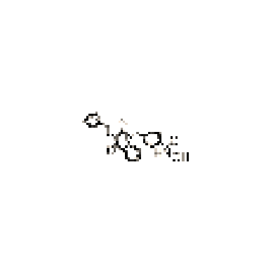 O=C(NO)c1ccc(Cn2c(=O)n(CCc3cccs3)c(=O)c3ccccc32)cc1